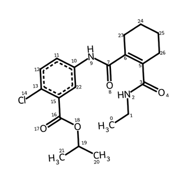 CCNC(=O)C1=C(C(=O)Nc2ccc(Cl)c(C(=O)OC(C)C)c2)CCCC1